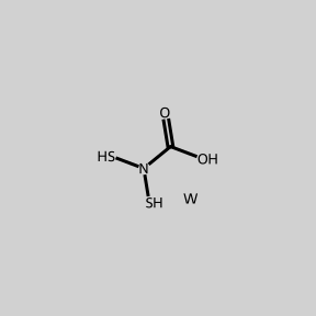 O=C(O)N(S)S.[W]